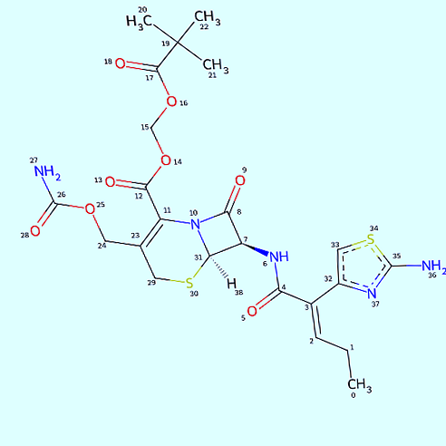 CC/C=C(/C(=O)N[C@@H]1C(=O)N2C(C(=O)OCOC(=O)C(C)(C)C)=C(COC(N)=O)CS[C@H]12)c1csc(N)n1